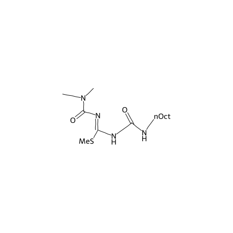 CCCCCCCCNC(=O)NC(=NC(=O)N(C)C)SC